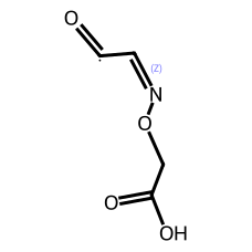 O=[C]/C=N\OCC(=O)O